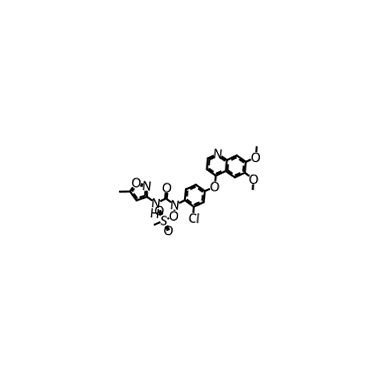 COc1cc2nccc(Oc3ccc(N(OS(C)(=O)=O)C(=O)Nc4cc(C)on4)c(Cl)c3)c2cc1OC